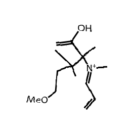 C=C/C=[N+](\C)C(C)(C(=C)O)C(C)(C)CCOC